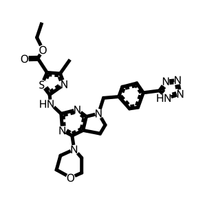 CCOC(=O)c1sc(Nc2nc(N3CCOCC3)c3c(n2)N(Cc2ccc(-c4nnn[nH]4)cc2)CC3)nc1C